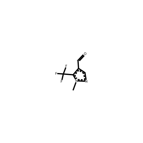 Cn1ncc([C]=O)c1C(F)(F)F